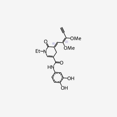 C#C/C(OC)=C(\C=C1/CC(C(=O)Nc2ccc(O)c(O)c2)=CN(CC)C1=O)OC